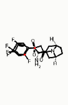 N[C@H](Cc1cc(F)c(F)cc1F)C1C[C@H]2CC[C@@H](C1)N2C(=O)CS(=O)(=O)N1CCC(F)(F)CC1